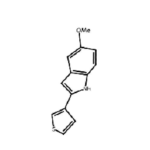 COc1ccc2[nH]c(-c3ccsc3)cc2c1